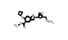 COCC12CC(n3cc4cc(C(=O)OC)c(OC5CCC5)cc4n3)(CO1)C2